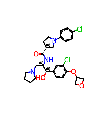 O=C(N[C@H](CN1CCCC1)[C@H](O)c1ccc(OC2COC2)c(Cl)c1)[C@@H]1CCN(c2ccc(Cl)cc2)C1